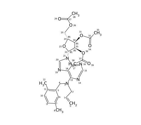 C=CCN(Cc1cc(C)ccc1C)c1ncnc2c1ncn2[C@@H]1O[C@H](COC(C)=O)[C@@H](OC(C)=O)[C@H]1OC(C)=O